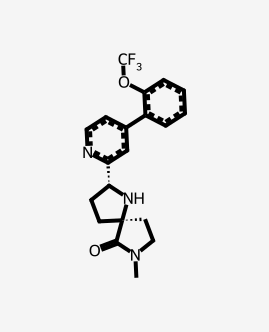 CN1CC[C@@]2(CC[C@H](c3cc(-c4ccccc4OC(F)(F)F)ccn3)N2)C1=O